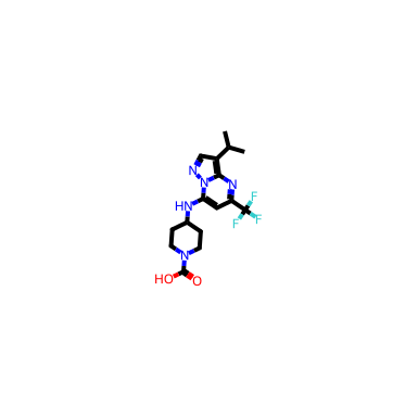 CC(C)c1cnn2c(NC3CCN(C(=O)O)CC3)cc(C(F)(F)F)nc12